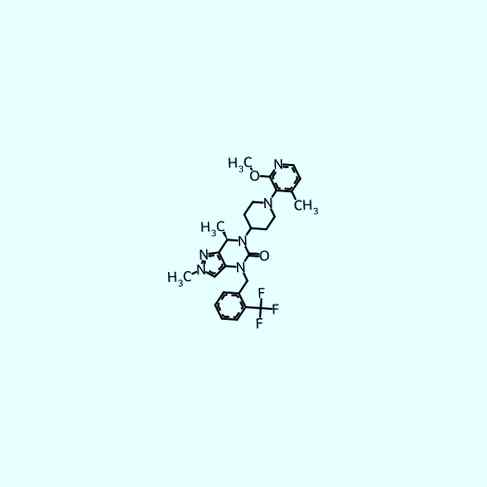 COc1nccc(C)c1N1CCC(N2C(=O)N(Cc3ccccc3C(F)(F)F)c3cn(C)nc3[C@H]2C)CC1